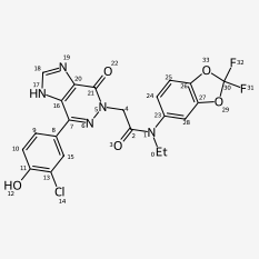 CCN(C(=O)Cn1nc(-c2ccc(O)c(Cl)c2)c2[nH]cnc2c1=O)c1ccc2c(c1)OC(F)(F)O2